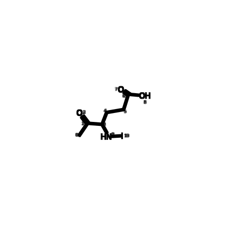 CC(=O)C(CCC(=O)O)NI